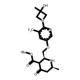 C[C@H]1CC(=O)C(C(=O)OC(C)(C)C)[C@@H](COc2cnc(N3CC(C)(O)C3)c(C(F)(F)F)c2)N1